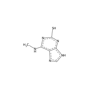 CNc1nc(S)nc2[nH]cnc12